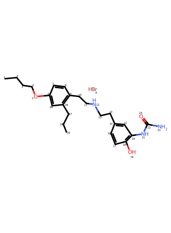 Br.CCCCOc1ccc(CCNCCc2ccc(O)c(NC(N)=O)c2)c(CCC)c1